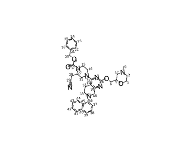 CN1CCOC(COc2nc3c(c(N4CCN(C(=O)OCc5ccccc5)C(CC#N)C4)n2)CCN(c2cccc4ccccc24)C3)C1